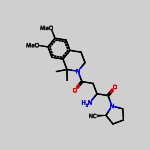 COc1cc2c(cc1OC)C(C)(C)N(C(=O)CC(N)C(=O)N1CCC[C@H]1C#N)CC2